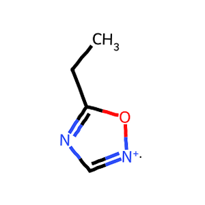 CCC1=NC=[N+]O1